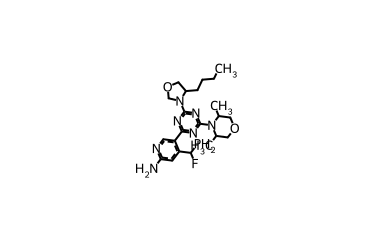 CCCCC1COCN1c1nc(-c2cnc(N)cc2C(F)P)nc(N2C(C)COCC2C)n1